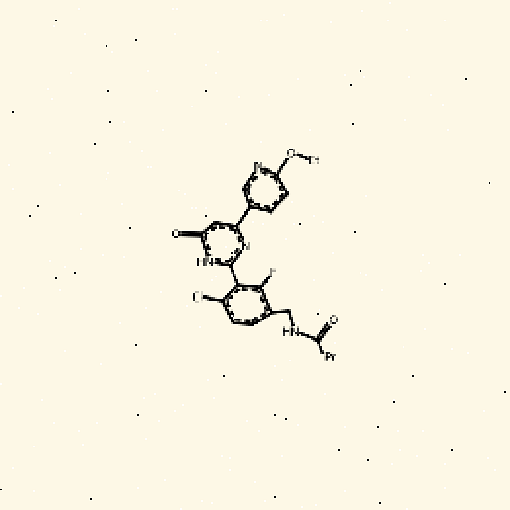 CCOc1ccc(-c2cc(=O)[nH]c(-c3c(Cl)ccc(CNC(=O)C(C)C)c3F)n2)cn1